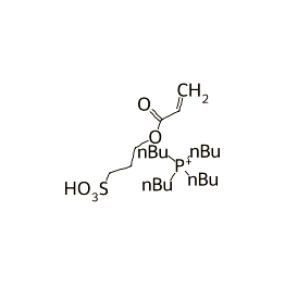 C=CC(=O)OCCCS(=O)(=O)O.CCCC[P+](CCCC)(CCCC)CCCC